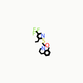 CCc1cc(C(F)(F)F)cnc1SCC(=O)N1CCCc2cccc(C)c21